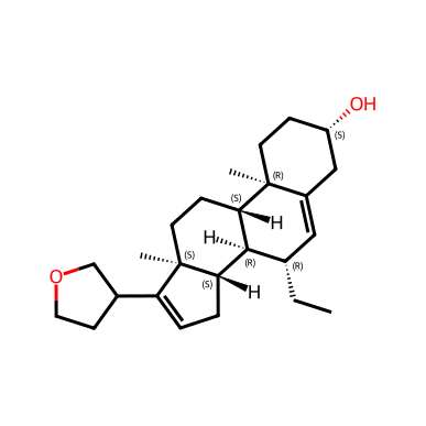 CC[C@H]1C=C2C[C@@H](O)CC[C@]2(C)[C@H]2CC[C@]3(C)C(C4CCOC4)=CC[C@H]3[C@H]12